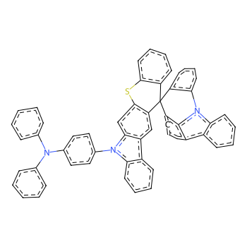 c1ccc(N(c2ccccc2)c2ccc(-n3c4ccccc4c4cc5c(cc43)Sc3ccccc3C53c4ccccc4-n4c5ccccc5c5cccc3c54)cc2)cc1